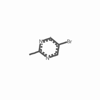 Cc1n[c]c(Br)cn1